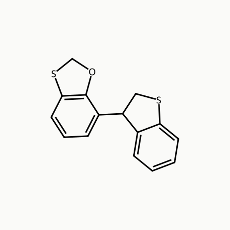 c1ccc2c(c1)SCC2c1cccc2c1OCS2